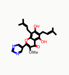 COc1c(-c2cncnc2)oc2c(CC=C(C)C)c(O)c(CC=C(C)C)c(O)c2c1=O